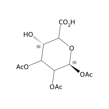 CC(=O)OC1C(OC(C)=O)[C@H](O)C(C(=O)O)O[C@H]1OC(C)=O